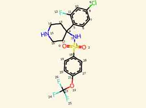 O=S(=O)(NC1(c2ccc(Cl)cc2F)CCNCC1)c1ccc(OC(F)(F)F)cc1